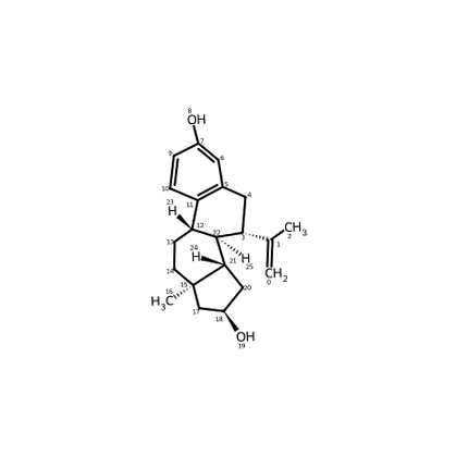 C=C(C)[C@H]1Cc2cc(O)ccc2[C@H]2CC[C@]3(C)C[C@H](O)C[C@H]3[C@H]12